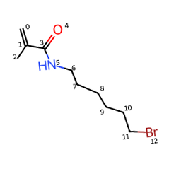 C=C(C)C(=O)NCCCCCCBr